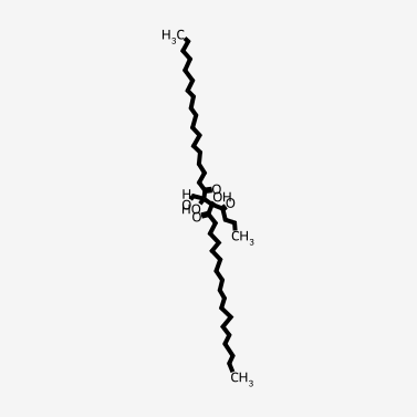 CCCCCCCCCCCCCCCCCC(=O)C(O)(CO)C(O)(C(=O)CCC)C(=O)CCCCCCCCCCCCCCCCC